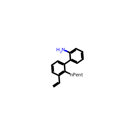 C=Cc1cccc(-c2ccccc2N)c1CCCCC